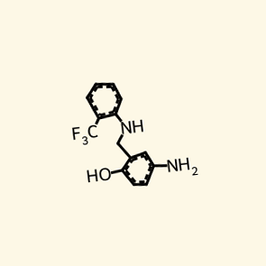 Nc1ccc(O)c(CNc2ccccc2C(F)(F)F)c1